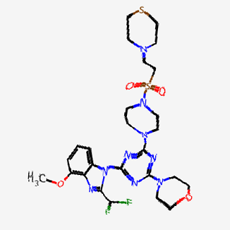 COc1cccc2c1nc(C(F)F)n2-c1nc(N2CCOCC2)nc(N2CCN(S(=O)(=O)CCN3CCSCC3)CC2)n1